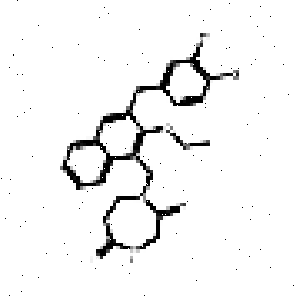 CCOc1c(Cc2ccc(Cl)c(Cl)c2)cc2ccccc2c1CN1CCC(=O)NCC1=O